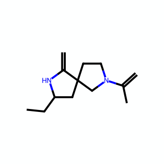 C=C(C)N1CCC2(CC(CC)NC2=C)C1